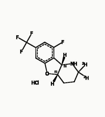 Cl.[2H]C1([2H])CC[C@@H]2Oc3cc(C(F)(F)F)cc(F)c3[C@@H]2N1